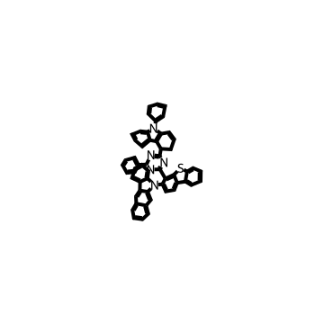 C1=Cc2c(c3ccccc3n2-c2ccccc2)C(c2nc(-c3ccccc3)nc(-c3c(-n4c5ccccc5c5cc6ccccc6cc54)ccc4c3sc3ccccc34)n2)C1